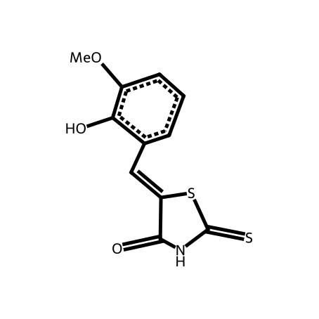 COc1cccc(/C=C2\SC(=S)NC2=O)c1O